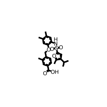 Cc1cc(NS(=O)(=O)c2cc(C(C)C)c(C)o2)c(OCc2ccc(C(=O)O)cc2C)cc1C